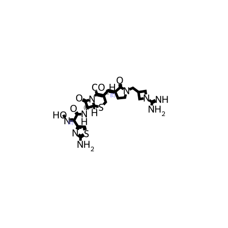 N=C(N)N1CC(CN2CC/C(=C\C3=C(C(=O)O)N4C(=O)[C@@H](NC(=O)/C(=N\O)c5csc(N)n5)[C@H]4SC3)C2=O)C1